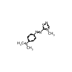 CN(C)c1ccc(N=Nc2snc[n+]2C)cc1